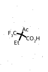 CCC(C(C)=O)(C(=O)O)C(F)(F)F